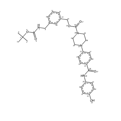 CC(C)(C)OC(=O)NCc1cccc(COC(=O)N2CCN(c3ccc(C(=O)Nc4ccc(O)cc4)cc3)CC2)c1